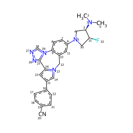 CN(C)[C@@H]1CN(c2ccc3c(c2)Cn2cc(-c4ccc(C#N)cc4)cc2-c2nncn2-3)C[C@@H]1F